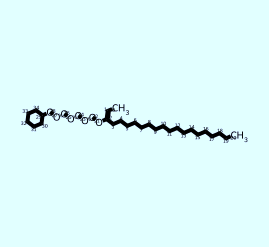 CC=C(CCCCCCCCCCCCCCCCCC)OOOOOOOOC1CCCCC1